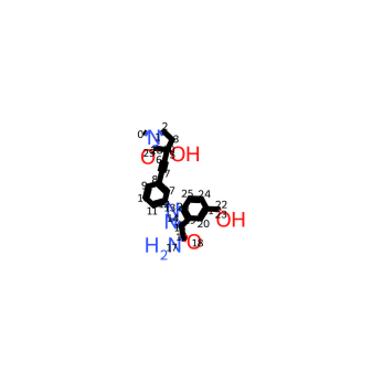 CN1CC[C@@](O)(C#Cc2cccc(-n3nc(C(N)=O)c4cc(CO)ccc43)c2)C1=O